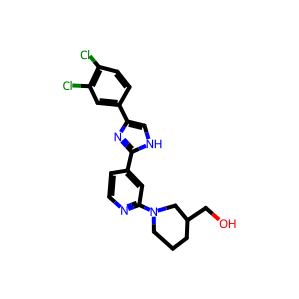 OCC1CCCN(c2cc(-c3nc(-c4ccc(Cl)c(Cl)c4)c[nH]3)ccn2)C1